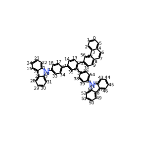 c1ccc2c(c1)ccc1ccc(-c3ccc(-c4ccc(-n5c6ccccc6c6ccccc65)cc4)cc3-c3ccc(-n4c5ccccc5c5ccccc54)cc3)cc12